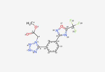 COC(=O)Cn1nnnc1-c1cccc(-c2noc(C(F)(F)F)n2)c1